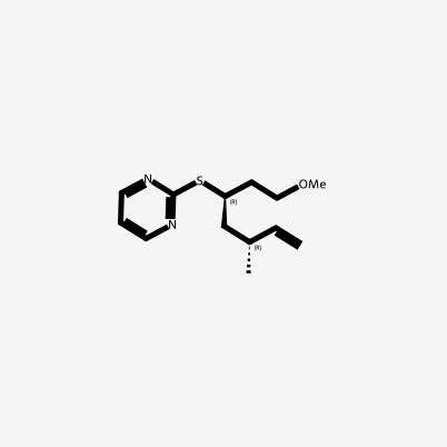 C=C[C@H](C)C[C@H](CCOC)Sc1ncccn1